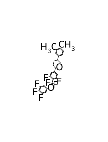 Cc1ccc(C2CCC(c3cc(F)c(C(F)(F)Oc4cc(F)c(F)c(F)c4)c(F)c3)OC2)cc1C